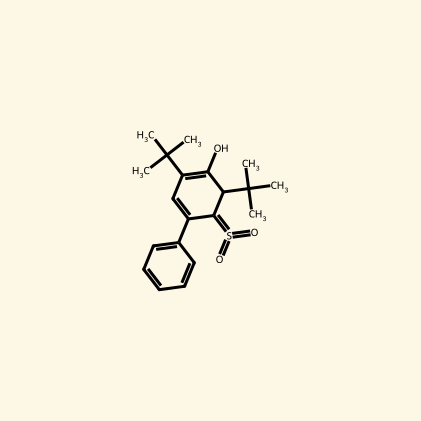 CC(C)(C)C1=C(O)C(C(C)(C)C)C(=S(=O)=O)C(c2ccccc2)=C1